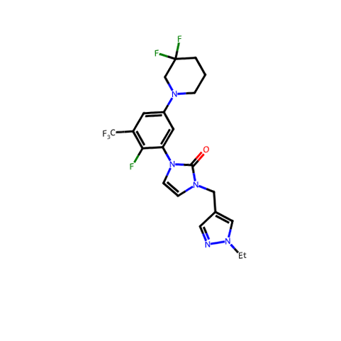 CCn1cc(Cn2ccn(-c3cc(N4CCCC(F)(F)C4)cc(C(F)(F)F)c3F)c2=O)cn1